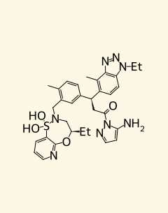 CC[C@@H]1CN(Cc2cc([C@H](CC(=O)n3nccc3N)c3ccc4c(nnn4CC)c3C)ccc2C)S(O)(O)c2cccnc2O1